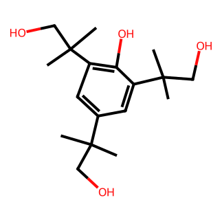 CC(C)(CO)c1cc(C(C)(C)CO)c(O)c(C(C)(C)CO)c1